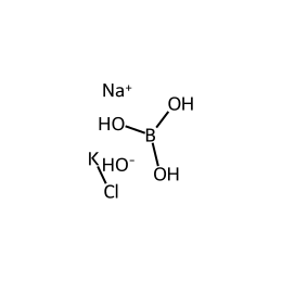 OB(O)O.[Cl][K].[Na+].[OH-]